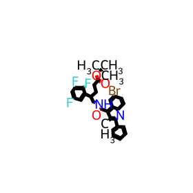 Cc1c(-c2ccccc2)nc2ccc(Br)cc2c1C(=O)NCC(CCC(=O)OC(C)(C)C)c1cc(F)cc(F)c1F